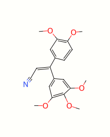 COc1ccc(C(=CC#N)c2cc(OC)c(OC)c(OC)c2)cc1OC